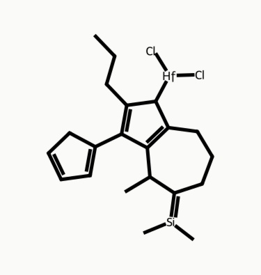 CCCC1=C(C2=CC=CC2)C2=C(CCCC(=[Si](C)C)C2C)[CH]1[Hf]([Cl])[Cl]